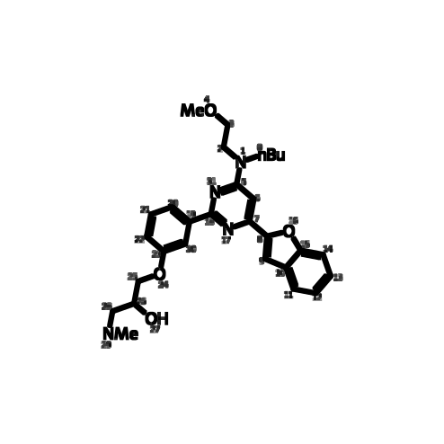 CCCCN(CCOC)c1cc(-c2cc3ccccc3o2)nc(-c2cccc(OCC(O)CNC)c2)n1